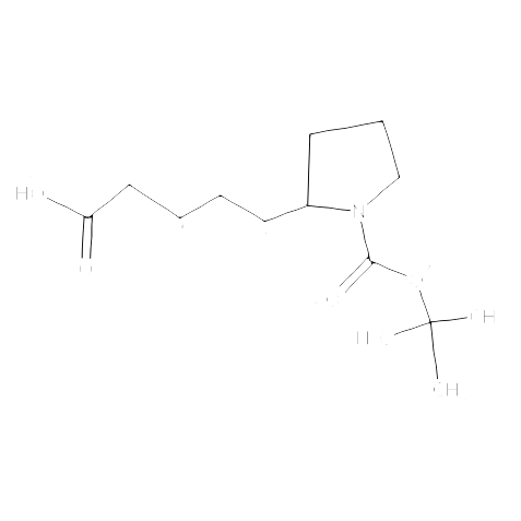 CC(C)(C)OC(=O)N1CCCC1CCCCC(=O)O